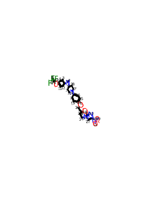 CN(c1ccc(OC(F)(F)F)cc1)C1CCN(c2ccc(OCC3CCn4cc([N+](=O)[O-])nc4O3)cc2)CC1